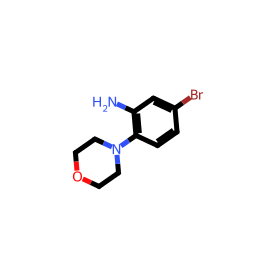 Nc1cc(Br)ccc1N1CCOCC1